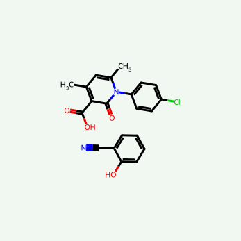 Cc1cc(C)n(-c2ccc(Cl)cc2)c(=O)c1C(=O)O.N#Cc1ccccc1O